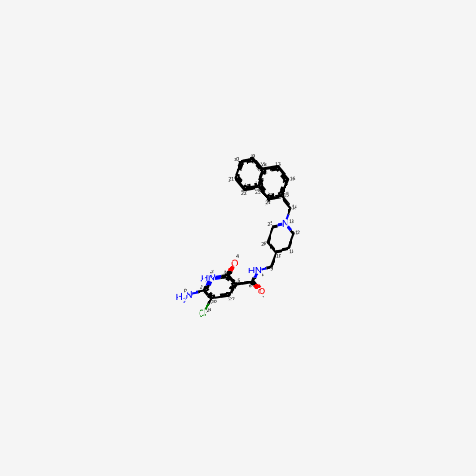 Nc1[nH]c(=O)c(C(=O)NCC2CCN(Cc3ccc4ccccc4c3)CC2)cc1Cl